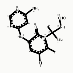 Cc1c(Cl)cc(Nc2cc(N)ncn2)c(=O)n1C(C)(NC=O)C(C)(C)C